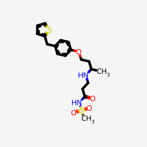 CC(CCOc1ccc(Cc2cccs2)cc1)NCCC(=O)NS(C)(=O)=O